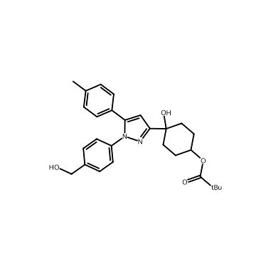 Cc1ccc(-c2cc(C3(O)CCC(OC(=O)C(C)(C)C)CC3)nn2-c2ccc(CO)cc2)cc1